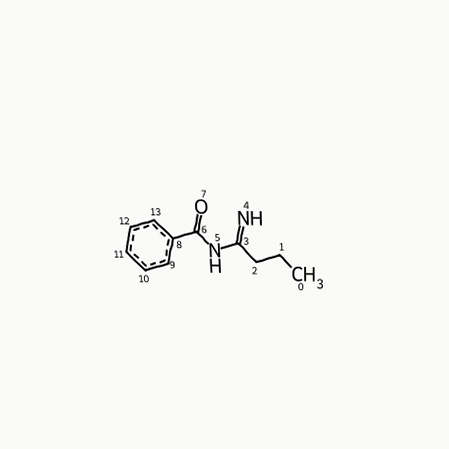 CCCC(=N)NC(=O)c1ccccc1